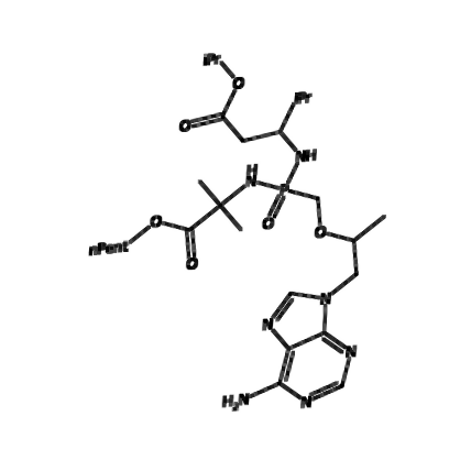 CCCCCOC(=O)C(C)(C)NP(=O)(COC(C)Cn1cnc2c(N)ncnc21)NC(CC(=O)OC(C)C)C(C)C